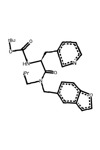 CC(C)CN(Cc1ccc2occc2c1)C(=O)[C@H](Cc1cccnc1)NC(=O)OC(C)(C)C